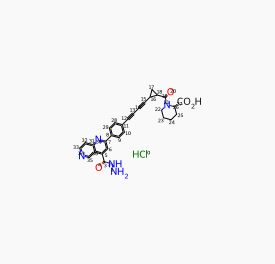 Cl.NNC(=O)c1cc(-c2ccc(C#CC#CC3CC3C(=O)N3CCCCC3C(=O)O)cc2)nc2ccncc12